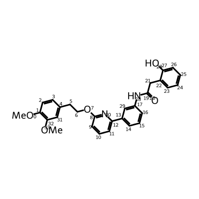 COc1ccc(CCOc2cccc(-c3cccc(NC(=O)Cc4ccccc4O)c3)n2)cc1OC